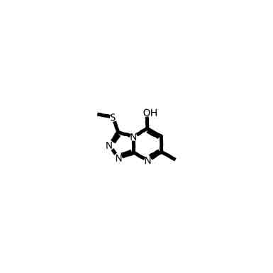 CSc1nnc2nc(C)cc(O)n12